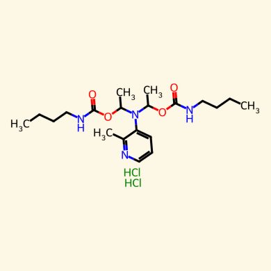 CCCCNC(=O)OC(C)N(c1cccnc1C)C(C)OC(=O)NCCCC.Cl.Cl